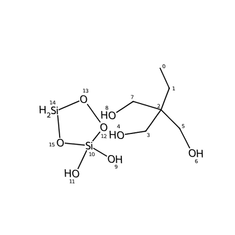 CCC(CO)(CO)CO.O[Si]1(O)OO[SiH2]O1